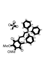 COC1=C(OC)C(=O)C(CCC[P+](c2ccccc2)(c2ccccc2)c2ccccc2)=C(C)C1=O.CS(=O)(=O)[O-]